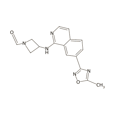 Cc1nc(-c2ccc3ccnc(NC4CN(C=O)C4)c3c2)no1